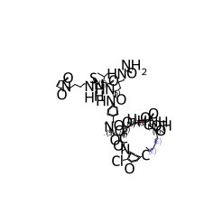 COc1cc2cc(c1Cl)N(C)C(=O)C[C@H](OC(=O)[C@H](C)N(C)C(=O)c1ccc(NC(=O)[C@H](CCCNC(N)=O)NC(=O)[C@@H](NC(=S)NCCCCN3C(=O)C=CC3=O)C(C)C)cc1)[C@]1(C)O[C@H]1[C@H](C)[C@@H]1C[C@@](O)(NC(=O)O1)[C@H](OC)/C=C/C=C(\C)C2